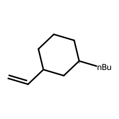 C=CC1CCC[C](CCCC)C1